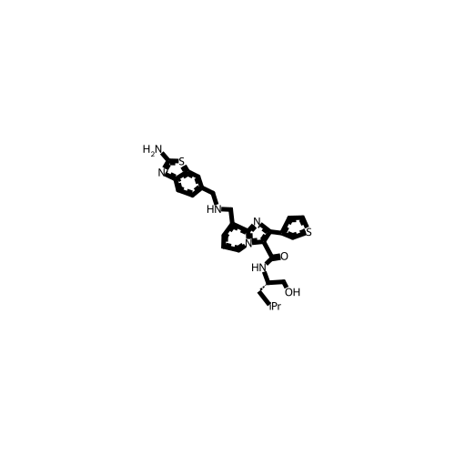 CC(C)C[C@@H](CO)NC(=O)c1c(-c2ccsc2)nc2c(CNCc3ccc4nc(N)sc4c3)cccn12